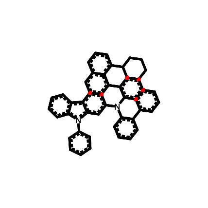 c1ccc(-c2ccccc2N(c2ccc3c4ccccc4n(-c4ccccc4)c3c2)c2ccccc2-c2cccc3cccc(C4CCCCC4)c23)cc1